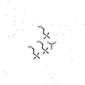 C[N+](C)(C)CCO.C[N+](C)(C)CCO.C[N+](C)(C)CCO.[O-]B([O-])[O-]